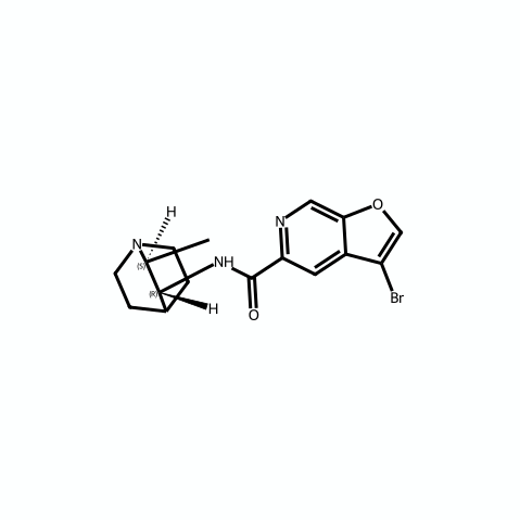 C[C@H]1[C@H](NC(=O)c2cc3c(Br)coc3cn2)C2CCN1CC2